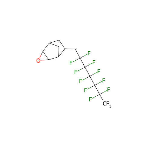 FC(F)(F)C(F)(F)C(F)(F)C(F)(F)C(F)(F)C(F)(F)CC1CC2CC1C1OC21